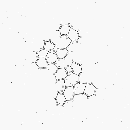 c1ccc(-n2c3c(c4ccccc42)Sc2ccccc2N3c2ccc(N(c3ccc(-c4cccc5ccccc45)cc3)c3cccc4oc5ccccc5c34)cc2)cc1